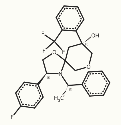 C[C@@H](c1ccccc1)N1[C@@H](c2ccc(F)cc2)COC12COC[C@](O)(c1ccccc1C(F)(F)F)C2